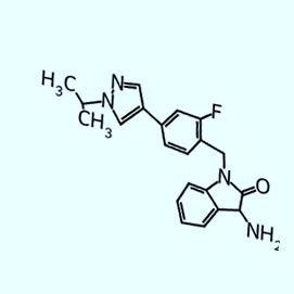 CC(C)n1cc(-c2ccc(CN3C(=O)C(N)c4ccccc43)c(F)c2)cn1